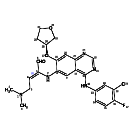 CN(C)C/C=C(/C=O)Nc1cc2c(Nc3ccc(F)c(Cl)c3)ncnc2cc1O[C@H]1CCOC1